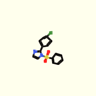 O=S(=O)(c1ccccc1)n1ccnc1-c1ccc(Cl)cc1